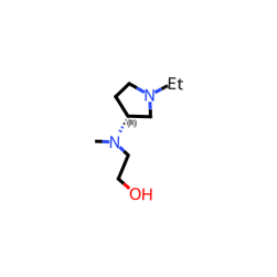 CCN1CC[C@@H](N(C)CCO)C1